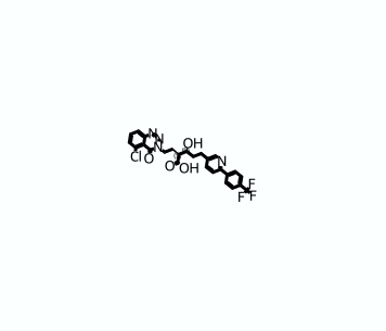 O=C(O)[C@@H](CCn1nnc2cccc(Cl)c2c1=O)[C@H](O)CCc1ccc(-c2ccc(C(F)(F)F)cc2)nc1